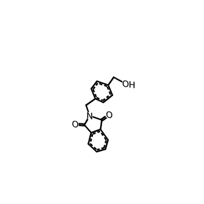 O=C1c2ccccc2C(=O)N1Cc1ccc(CO)cc1